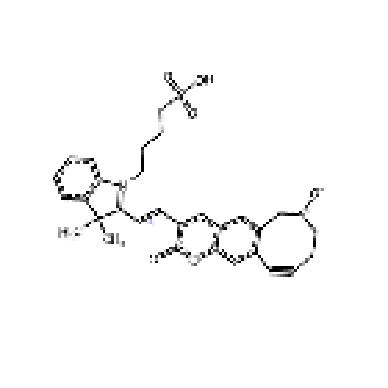 CC1(C)C(/C=C/c2cc3cc4c(cc3oc2=O)C#CCC[S+]([O-])C4)=[N+](CCCCS(=O)(=O)O)c2ccccc21